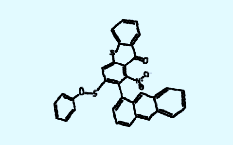 O=c1c2ccccc2sc2cc(SOc3ccccc3)c(-c3cccc4cc5ccccc5cc34)c([N+](=O)[O-])c12